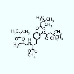 COC(=O)[C@H](Cc1ccc(OC(=O)CC(C)(C)C)c(OC(=O)CC(C)(C)C)c1)NCC(C)OC(=O)C(C)C